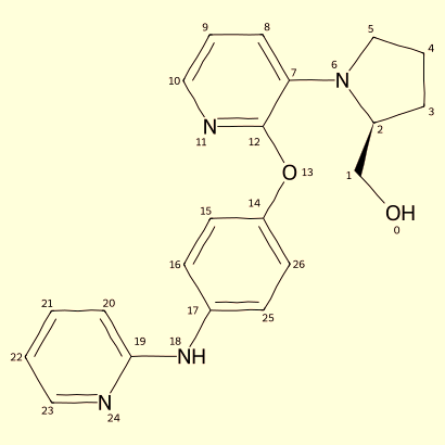 OC[C@@H]1CCCN1c1cccnc1Oc1ccc(Nc2ccccn2)cc1